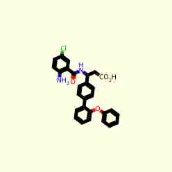 Nc1ccc(Cl)cc1C(=O)NC(CC(=O)O)c1ccc(-c2ccccc2Oc2ccccc2)cc1